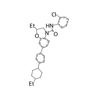 CCC1CCC(c2ccc(-c3ccc4c(c3)OC(CC)CN4C(=O)Nc3ccccc3Cl)cc2)CC1